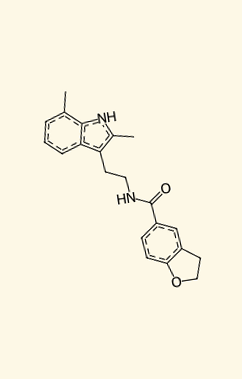 Cc1[nH]c2c(C)cccc2c1CCNC(=O)c1ccc2c(c1)CCO2